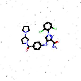 NC(=O)c1nn(-c2c(Cl)cccc2Cl)cc1Nc1ccc(C(=O)N2CCC(N3CCCC3)C2)cc1